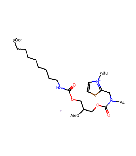 CCCCCCCCCCCCCCCCCCNC(=O)OCC(COC(=O)N(Cc1scc[n+]1CCCC)C(C)=O)OC.[I-]